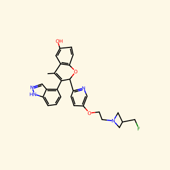 CC1=C(c2cccc3[nH]ncc23)C(c2ccc(OCCN3CC(CF)C3)cn2)Oc2ccc(O)cc21